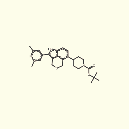 Cc1cc(-c2[nH]c3ccc(C4CCN(C(=O)OC(C)(C)C)CC4)c4c3c2COC4)cc(C)n1